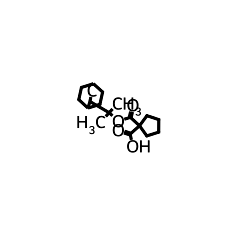 CC(C)(OC(=O)C1(C(=O)O)CCCC1)C1CC2CCC1CC2